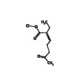 CCC(=CCCC(C)=O)C(=O)OCl